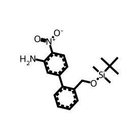 CC(C)(C)[Si](C)(C)OCc1ccccc1-c1ccc([N+](=O)[O-])c(N)c1